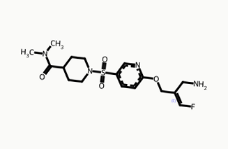 CN(C)C(=O)C1CCN(S(=O)(=O)c2ccc(OC/C(=C/F)CN)nc2)CC1